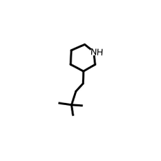 CC(C)(C)CCC1CCCNC1